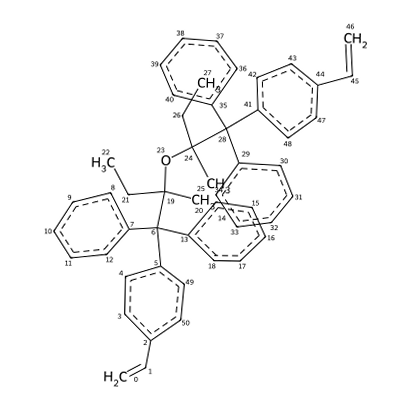 C=Cc1ccc(C(c2ccccc2)(c2ccccc2)C(C)(CC)OC(C)(CC)C(c2ccccc2)(c2ccccc2)c2ccc(C=C)cc2)cc1